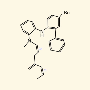 C=C(/C=C\C)C/C=C\N(C)c1ccccc1Nc1ccc(C(C)(C)C)cc1-c1ccccc1